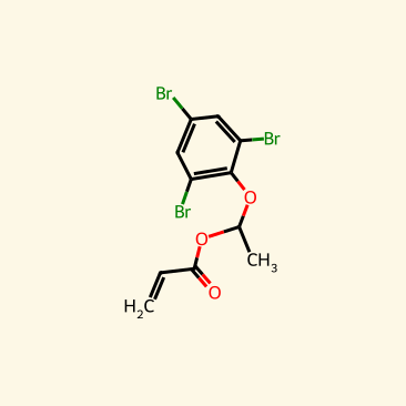 C=CC(=O)OC(C)Oc1c(Br)cc(Br)cc1Br